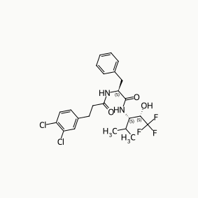 CC(C)[C@H](NC(=O)[C@H](Cc1ccccc1)NC(=O)CCc1ccc(Cl)c(Cl)c1)[C@H](O)C(F)(F)F